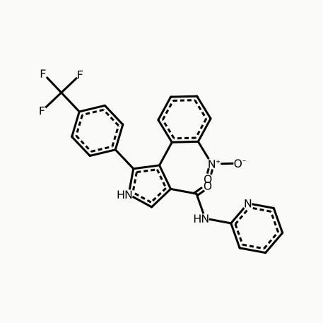 O=C(Nc1ccccn1)c1c[nH]c(-c2ccc(C(F)(F)F)cc2)c1-c1ccccc1[N+](=O)[O-]